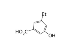 CCc1cc(O)cc(C(=O)O)c1